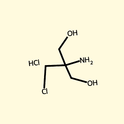 Cl.NC(CO)(CO)CCl